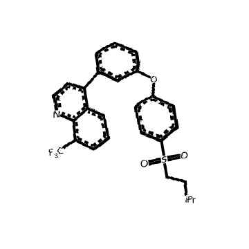 CC(C)CCS(=O)(=O)c1ccc(Oc2cccc(-c3ccnc4c(C(F)(F)F)cccc34)c2)cc1